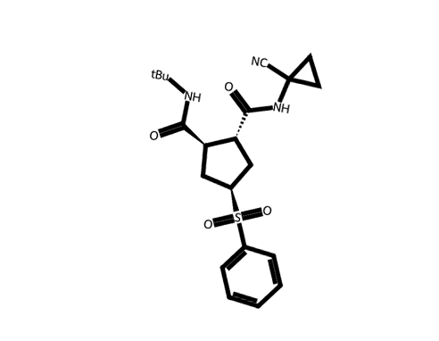 CC(C)(C)NC(=O)[C@@H]1C[C@H](S(=O)(=O)c2ccccc2)C[C@H]1C(=O)NC1(C#N)CC1